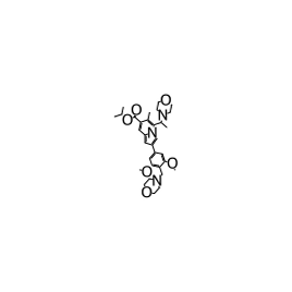 COc1cc(-c2cc3cc(C(=O)OC(C)C)c(C)c(C(C)N4CCOCC4)n3c2)cc(OC)c1CN1CCOCC1